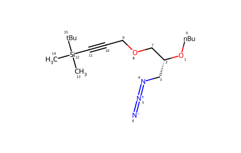 CCCCO[C@H](CN=[N+]=[N-])COCC#C[Si](C)(C)C(C)(C)C